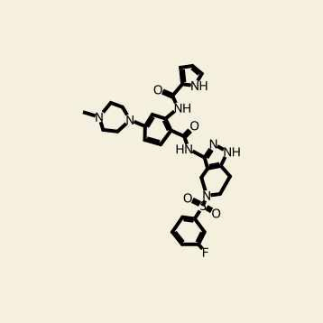 CN1CCN(c2ccc(C(=O)Nc3n[nH]c4c3CN(S(=O)(=O)c3cccc(F)c3)CC4)c(NC(=O)c3ccc[nH]3)c2)CC1